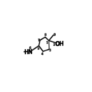 CC1(O)CCC([NH])CC1